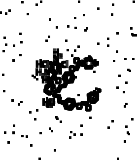 CN1CCN(C(=O)COc2ccc(CCC[N+]3(CCCc4ccc(OCC(=O)N5CCN(C)CC5)cc4)CCC[C@H](NC(=O)c4nc(Cl)c(N)nc4N)C3)cc2)CC1.Cl.Cl.[Cl-]